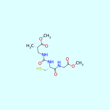 COC(=O)CNC(=O)[C@H](CS)NC(=O)NC[C@H](C)C(=O)OC